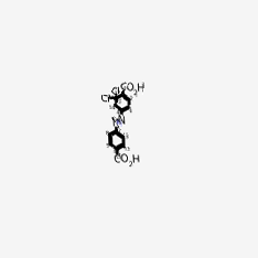 O=C(O)C1=CC=C(/N=N/c2ccc(C(=O)O)cc2)CC1(Cl)Cl